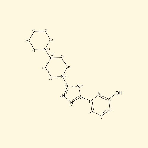 Oc1cccc(-c2nnc(N3CCC(N4CCCCC4)CC3)s2)c1